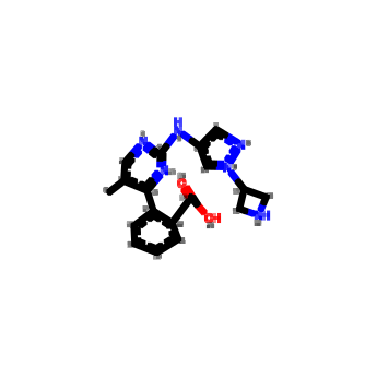 Cc1cnc(Nc2cnn(C3CNC3)c2)nc1-c1ccccc1C(=O)O